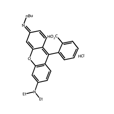 CCCCN=c1ccc2c(-c3ccccc3C(=O)O)c3ccc(N(CC)CC)cc3oc-2c1.Cl